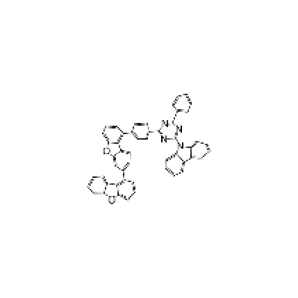 c1ccc(-c2nc(-c3ccc(-c4cccc5oc6cc(-c7cccc8oc9ccccc9c78)ccc6c45)cc3)nc(-n3c4ccccc4c4ccccc43)n2)cc1